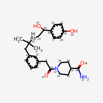 CC(C)(Cc1cccc(CC(=O)N2CCC(C(N)=O)CC2)c1)[AsH]CC(O)c1ccc(O)cc1